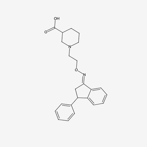 O=C(O)C1CCCN(CCON=C2CC(c3ccccc3)c3ccccc32)C1